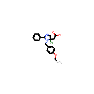 CCOc1ccc(CN2C(c3ccccc3)N=CC2(Cl)CC(=O)O)cc1